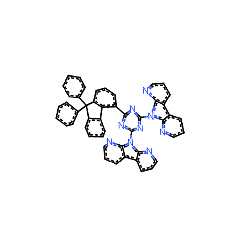 c1ccc(C2(c3ccccc3)c3ccccc3-c3c(-c4nc(-n5c6ncccc6c6cccnc65)nc(-n5c6ncccc6c6cccnc65)n4)cccc32)cc1